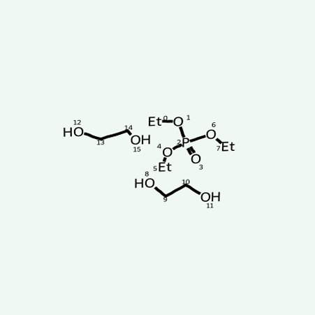 CCOP(=O)(OCC)OCC.OCCO.OCCO